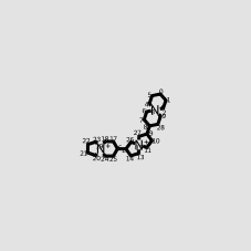 C1CC[N+]2(CC1)CCC(C1CC[N+]3(CCC(C4CC[N+]5(CCCC5)CC4)C3)C1)CC2